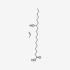 C=CC.CCCCCCC(O)CCCCCCCCCCC(=O)O